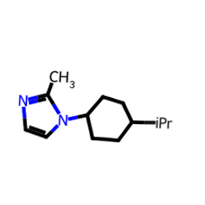 Cc1nccn1C1CCC(C(C)C)CC1